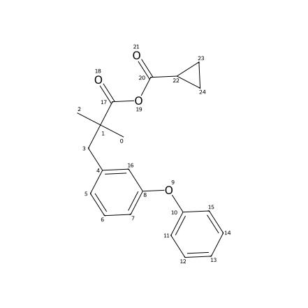 CC(C)(Cc1cccc(Oc2ccccc2)c1)C(=O)OC(=O)C1CC1